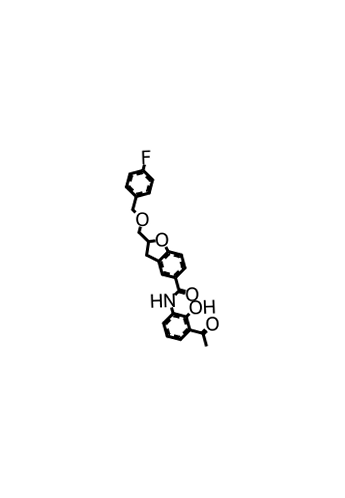 CC(=O)c1cccc(NC(=O)c2ccc3c(c2)CC(COCc2ccc(F)cc2)O3)c1O